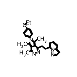 CCOc1ccc(-n2c(C)c3c(C)nnc(CCc4cccc5ccnn45)c3c2C)cc1